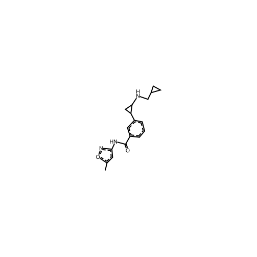 Cc1cc(NC(=O)c2cccc(C3CC3NCC3CC3)c2)no1